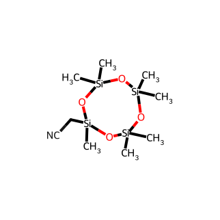 C[Si]1(C)O[Si](C)(C)O[Si](C)(CC#N)O[Si](C)(C)O1